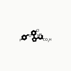 O=C(O)c1cnnc(C2=C(c3cc(Cl)ccc3OCc3ccc(F)cc3)CCC2)c1